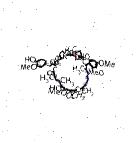 COc1cc(OC)c(C2C[C@@H]3CC[C@@H](C)[C@@](O)(O3)C(=O)C(=O)N3CCCC[C@H]3C(=O)O[C@H]([C@H](C)C[C@@H]3CC[C@@H](O)[C@H](OC)C3)CC(=O)[C@H](C)/C=C(\C)[C@@H](O)[C@@H](OC)C(=O)[C@H](C)C[C@H](C)/C=C/C=C/C=C/2C)c(OC)c1